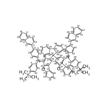 CC(C)(C)c1ccc(N(c2ccc(-c3ccc4ccccc4c3)cc2)c2cc3c(c4c2oc2ccccc24)-c2c(cc(N(c4ccc(-c5ccc6ccccc6c5)cc4)c4ccc(C(C)(C)C)cc4)c4c2oc2ccccc24)C32c3ccccc3C3C=CC=CC32)cc1